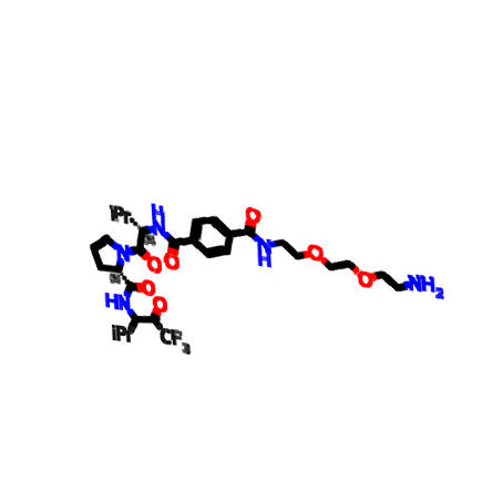 CC(C)C(NC(=O)[C@@H]1CCCN1C(=O)[C@@H](NC(=O)c1ccc(C(=O)NCCOCCOCCN)cc1)C(C)C)C(=O)C(F)(F)F